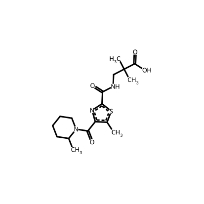 Cc1sc(C(=O)NCC(C)(C)C(=O)O)nc1C(=O)N1CCCCC1C